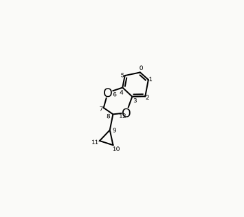 c1ccc2c(c1)OCC(C1CC1)O2